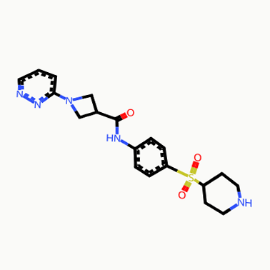 O=C(Nc1ccc(S(=O)(=O)C2CCNCC2)cc1)C1CN(c2cccnn2)C1